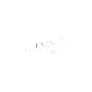 CC(C)[C@@H](N[S+]([O-])C(C)(C)C)c1ccc(C(F)(F)F)s1